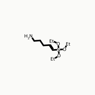 CCO[Si](C=CCCCN)(OCC)OCC